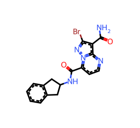 NC(=O)c1c(Br)nn2c(C(=O)NC3Cc4ccccc4C3)ccnc12